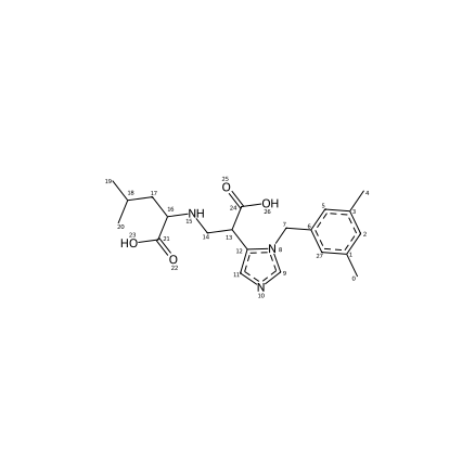 Cc1cc(C)cc(Cn2cncc2C(CNC(CC(C)C)C(=O)O)C(=O)O)c1